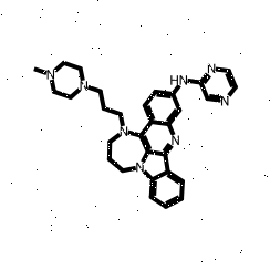 CN1CCN(CCCN2CCCn3c4ccccc4c4nc5cc(Nc6cnccn6)ccc5c2c43)CC1